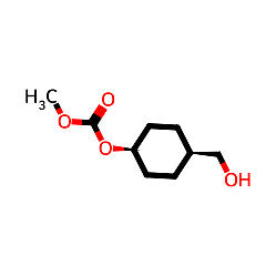 COC(=O)O[C@H]1CC[C@@H](CO)CC1